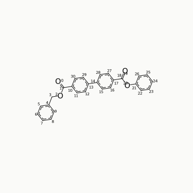 O=C(OCc1ccccc1)c1ccc(-c2ccc(C(=O)Oc3ccccc3)cc2)cc1